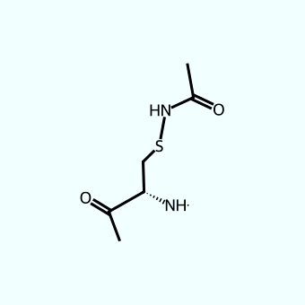 CC(=O)NSC[C@H]([NH])C(C)=O